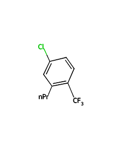 [CH2]CCc1cc(Cl)ccc1C(F)(F)F